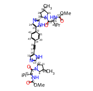 COC(=O)N[C@H](C(=O)N1C[C@H](C)C[C@H]1c1ncc(C#Cc2ccc(-c3cnc([C@@H]4C[C@H](C)CN4C(=O)[C@@H](NC(=O)OC)C(C)C)[nH]3)cc2)[nH]1)C(C)C